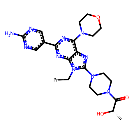 CC(C)Cn1c(N2CCN(C(=O)[C@H](C)O)CC2)nc2c(N3CCOCC3)nc(-c3cnc(N)nc3)nc21